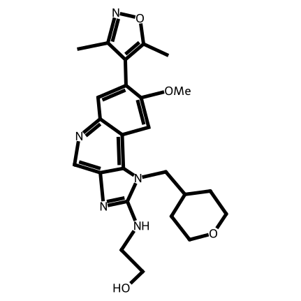 COc1cc2c(cc1-c1c(C)noc1C)ncc1nc(NCCO)n(CC3CCOCC3)c12